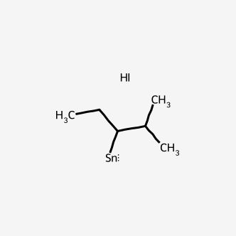 CC[CH]([Sn])C(C)C.I